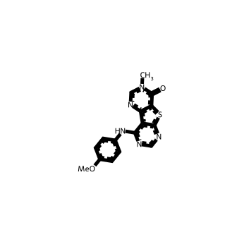 COc1ccc(Nc2ncnc3sc4c(=O)n(C)cnc4c23)cc1